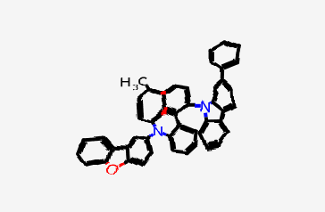 Cc1ccc(N(c2ccc3oc4ccccc4c3c2)c2ccccc2-c2ccccc2-n2c3ccccc3c3ccc(-c4ccccc4)cc32)cc1